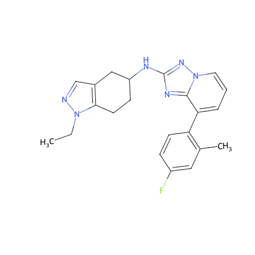 CCn1ncc2c1CCC(Nc1nc3c(-c4ccc(F)cc4C)cccn3n1)C2